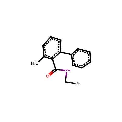 Cc1cccc(-c2ccccc2)c1C(=O)PCC(C)C